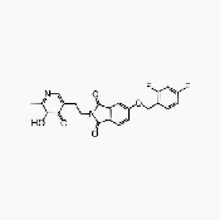 CC1=NC=C(CCN2C(=O)c3ccc(OCc4ccc(F)cc4F)cc3C2=O)C(=O)C1O